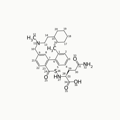 Cc1ccccc1-c1cc(CN(C)CCC2CCCCC2)ccc1C(=O)SN[C@@H](CCC(N)=O)C(=O)O